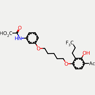 CC(=O)c1ccc(OCCCCCOc2cccc(NC(=O)C(=O)O)c2)c(CCC(F)(F)F)c1O